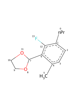 CCCc1ccc(C)c(C2OCCO2)c1F